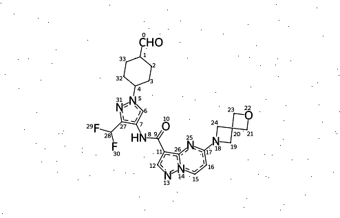 O=CC1CCC(n2cc(NC(=O)c3cnn4ccc(N5CC6(COC6)C5)nc34)c(C(F)F)n2)CC1